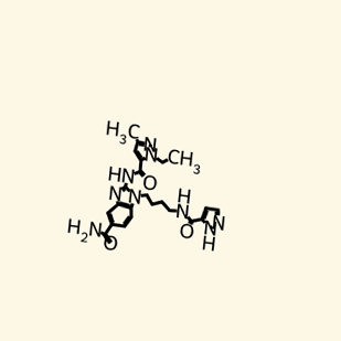 CCn1nc(C)cc1C(=O)Nc1nc2cc(C(N)=O)ccc2n1CCCCNC(=O)c1ccn[nH]1